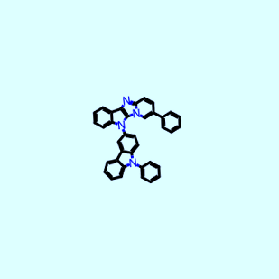 c1ccc(-c2ccc3nc4c5ccccc5n(-c5ccc6c(c5)c5ccccc5n6-c5ccccc5)c4n3c2)cc1